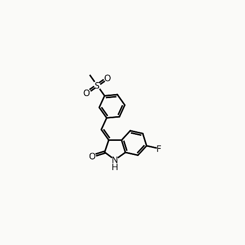 CS(=O)(=O)c1cccc(/C=C2/C(=O)Nc3cc(F)ccc32)c1